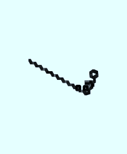 CCCCCCCCCCCCCCCCCCOCc1ccc(CNCc2ccccc2)o1